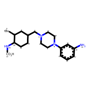 CC(C)(C)C1CC(CN2CCN(c3cccc(N)c3)CC2)CCC1NC(=O)O